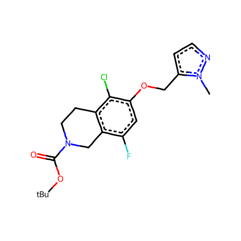 Cn1nccc1COc1cc(F)c2c(c1Cl)CCN(C(=O)OC(C)(C)C)C2